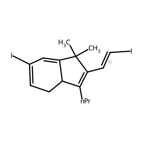 CCCC1=C(/C=C/I)C(C)(C)C2=CC(I)=CCC21